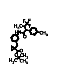 Cc1ccc(C(C(=O)Nc2cccc(CC3(C(=O)OC(C)(C)C)CC3)c2)C(C)C(F)(F)F)cc1